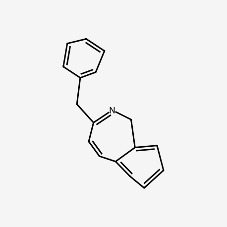 C1=Cc2ccccc2CN=C1Cc1ccccc1